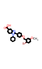 COc1ccc(Br)c(COc2ccc(-c3nc4cc(C(=O)O)ccc4n3C3CCCCC3)cc2)c1